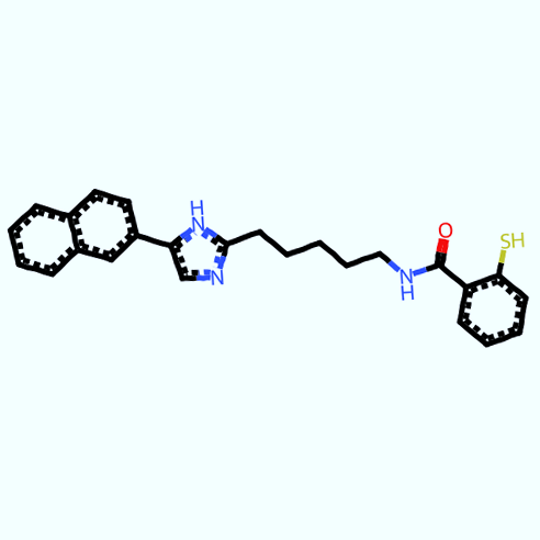 O=C(NCCCCCc1ncc(-c2ccc3ccccc3c2)[nH]1)c1ccccc1S